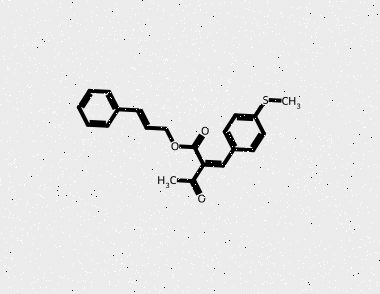 CSc1ccc(C=C(C(C)=O)C(=O)OCC=Cc2ccccc2)cc1